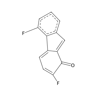 O=C1C(F)=CC=C2C1=Cc1cccc(F)c12